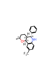 C[C@H]1CC[C@@H]2[C@H](O1)c1cc(C(F)(F)F)ccc1N[C@H]2c1ccccc1